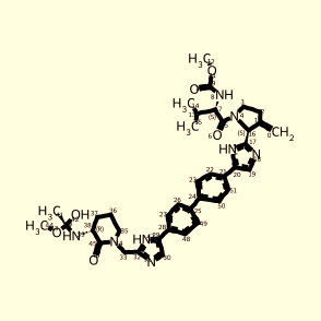 C=C1CCN(C(=O)[C@@H](NC(=O)OC)C(C)C)[C@@H]1c1ncc(-c2ccc(-c3ccc(-c4cnc(CN5CCC[C@@H](N[C@@](C)(O)OC)C5=O)[nH]4)cc3)cc2)[nH]1